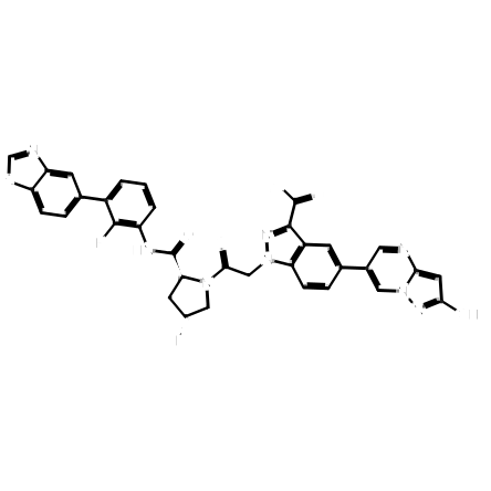 CC(=O)c1nn(CC(=O)N2C[C@H](F)C[C@H]2C(=O)Nc2cccc(-c3ccc4scnc4c3)c2F)c2ccc(-c3cnc4cc(C)nn4c3)cc12